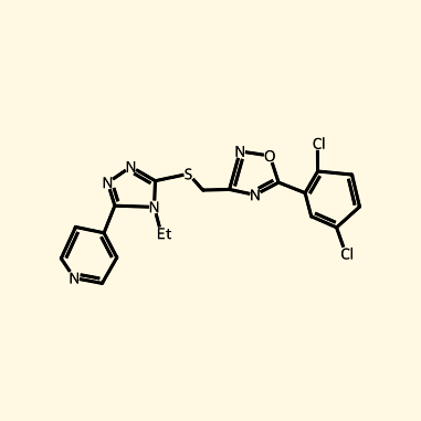 CCn1c(SCc2noc(-c3cc(Cl)ccc3Cl)n2)nnc1-c1ccncc1